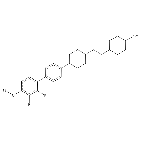 CCCC1CCC(CCC2CCC(c3ccc(-c4ccc(OCC)c(F)c4F)cc3)CC2)CC1